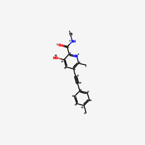 CCNC(=O)c1nc(C)c(C#Cc2ccc(C)cc2)cc1O